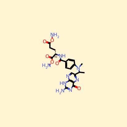 CC(c1cnc2[nH]c(N)nc(=O)c2n1)N(C)c1ccc(C(=O)N[C@@H](CCC(=O)ON)C(=O)ON)cc1